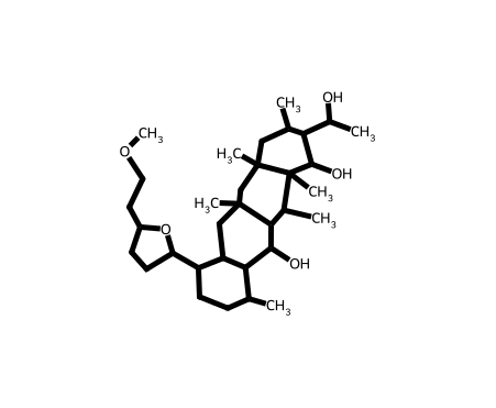 COCCC1CCC(C2CCC(C)C3C(O)C4C(C)C5(C)C(O)C(C(C)O)C(C)CC5(C)CC4(C)CC23)O1